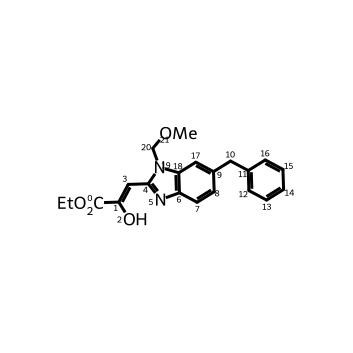 CCOC(=O)/C(O)=C/c1nc2ccc(Cc3ccccc3)cc2n1COC